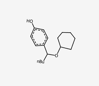 CCCCC(OC1CCCCC1)c1ccc(O)cc1